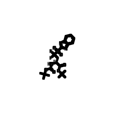 CC(C)(C)OC(=O)N[C@@H](CC(F)(F)S(=O)(=O)c1nc2ccccc2s1)C(=O)OC(C)(C)C